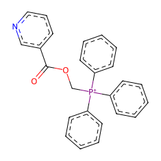 O=C(OC[P+](c1ccccc1)(c1ccccc1)c1ccccc1)c1cccnc1